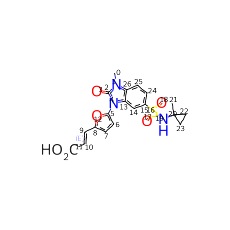 Cn1c(=O)n(-c2ccc(/C=C/C(=O)O)o2)c2cc(S(=O)(=O)NC3(C)CC3)ccc21